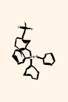 Fc1ccc(C(F)(F)F)cc1C[PH](c1ccccc1)(c1ccccc1)c1ccccc1